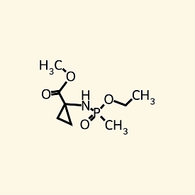 CCOP(C)(=O)NC1(C(=O)OC)CC1